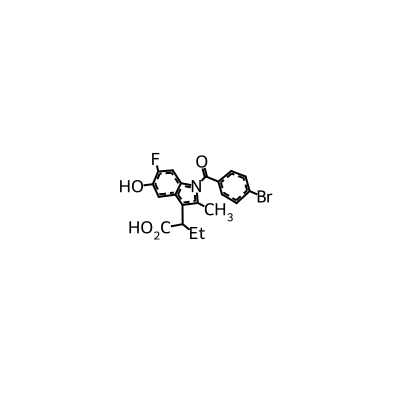 CCC(C(=O)O)c1c(C)n(C(=O)c2ccc(Br)cc2)c2cc(F)c(O)cc12